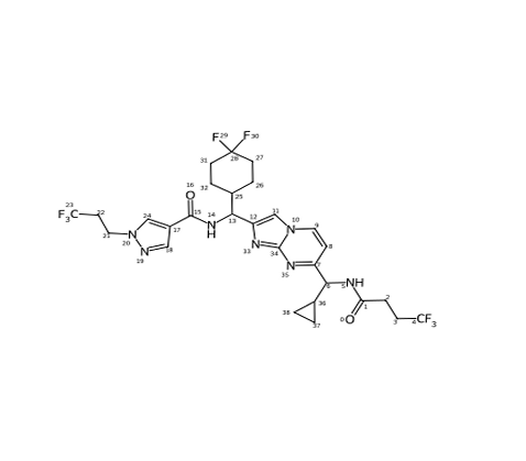 O=C(CCC(F)(F)F)NC(c1ccn2cc(C(NC(=O)c3cnn(CCC(F)(F)F)c3)C3CCC(F)(F)CC3)nc2n1)C1CC1